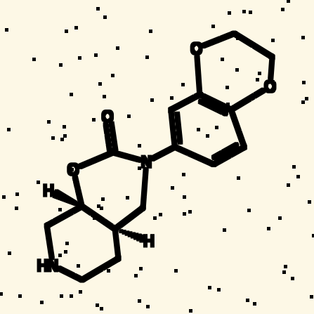 O=C1O[C@H]2CNCC[C@@H]2CN1c1ccc2c(c1)OCCO2